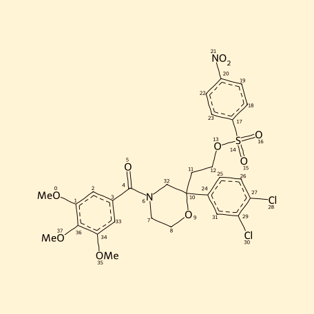 COc1cc(C(=O)N2CCOC(CCOS(=O)(=O)c3ccc([N+](=O)[O-])cc3)(c3ccc(Cl)c(Cl)c3)C2)cc(OC)c1OC